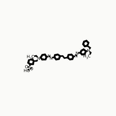 CCN(Cc1ccccc1)c1ccc(/N=N/c2ccc(CCc3ccc(/N=N/c4ccc(N(CC)Cc5cccc(S(=O)(=O)O)c5)cc4)cc3)cc2)cc1